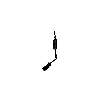 C#C[CH]C#C[CH2]